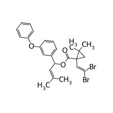 CC(C)=CC(OC(=O)C1(C=C(Br)Br)CC1(C)C)c1cccc(Oc2ccccc2)c1